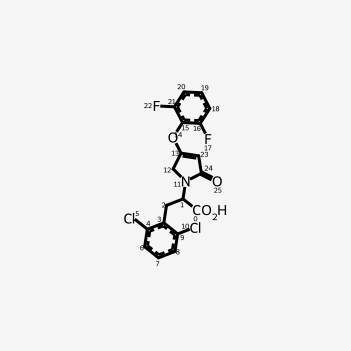 O=C(O)C(Cc1c(Cl)cccc1Cl)N1CC(Oc2c(F)cccc2F)=CC1=O